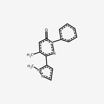 Cc1cc(=O)n(-c2ccccc2)nc1-c1ccnn1C